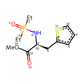 CCP(=O)(CC)N[C@@H](Cc1cccs1)C(=O)OC